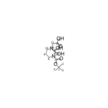 CC(C)(C)OC(=O)N1CCCN(CC(=O)O)S1(O)O